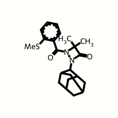 CSc1ccccc1C(=O)N1N(C2C3CC4CC(C3)CC2C4)C(=O)C1(C)C